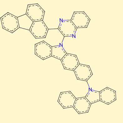 c1ccc2c(c1)-c1cccc3c(-c4nc5ccccc5nc4-n4c5ccccc5c5cc6cc(-n7c8ccccc8c8ccc9ccccc9c87)ccc6cc54)ccc-2c13